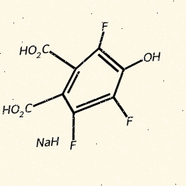 O=C(O)c1c(F)c(O)c(F)c(F)c1C(=O)O.[NaH]